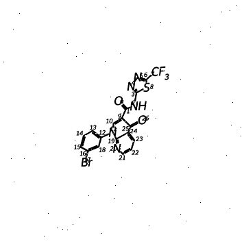 O=C(Nc1nnc(C(F)(F)F)s1)c1cn(-c2cccc(Br)c2)c2ncccc2c1=O